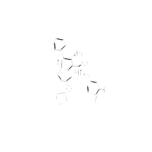 CC(C)c1c(-c2ccccc2)nc2ccc(OC3CCCC3)cc2c1C(=O)NCc1ccc(F)c(F)c1